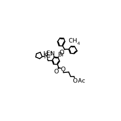 C.CCN(Cc1cc(C(=O)OCCCCOC(C)=O)cc(Br)c1N)C1CCCC1.O=C(c1ccccc1)c1ccccc1